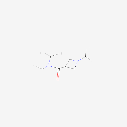 CCN(C(=O)C1CN(C(C)C)C1)C(C)C